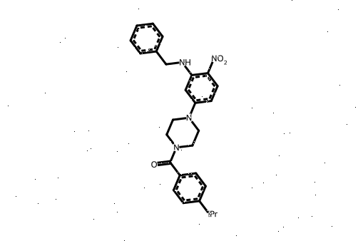 CC(C)c1ccc(C(=O)N2CCN(c3ccc([N+](=O)[O-])c(NCc4ccccc4)c3)CC2)cc1